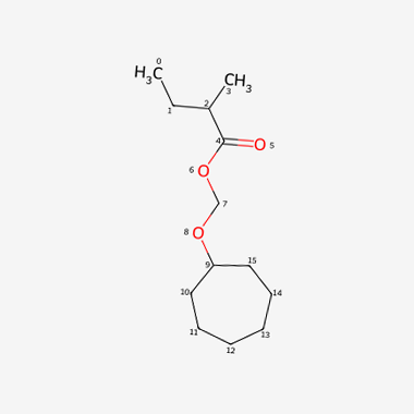 CCC(C)C(=O)OCOC1CCCCCC1